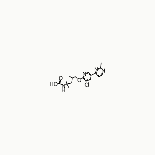 Cc1nccc(-c2cnc(OCC(C)CC(C)(C)NC(=O)O)c(Cl)c2)n1